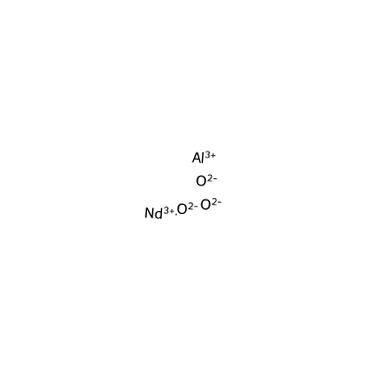 [Al+3].[Nd+3].[O-2].[O-2].[O-2]